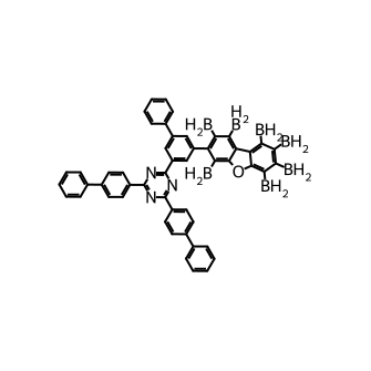 Bc1c(B)c(B)c2c(oc3c(B)c(-c4cc(-c5ccccc5)cc(-c5nc(-c6ccc(-c7ccccc7)cc6)nc(-c6ccc(-c7ccccc7)cc6)n5)c4)c(B)c(B)c32)c1B